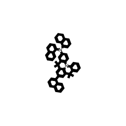 CC1(C)c2ccccc2N2c3ccc(N(c4cccc5c4C=CCC5)c4cccc5ccccc45)cc3C(C)(C)c3cc(-c4cccc5ccccc45)cc1c32